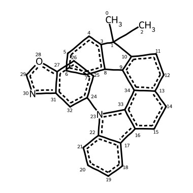 CC1(C)c2ccccc2-c2c1ccc1ccc3c4ccccc4n(-c4ccc5ocnc5c4)c3c21